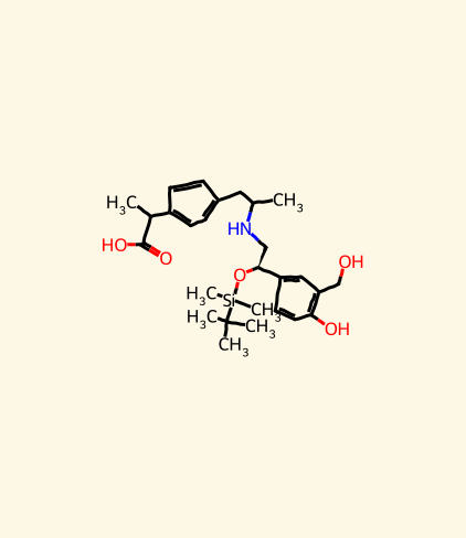 CC(Cc1ccc(C(C)C(=O)O)cc1)NC[C@H](O[Si](C)(C)C(C)(C)C)c1ccc(O)c(CO)c1